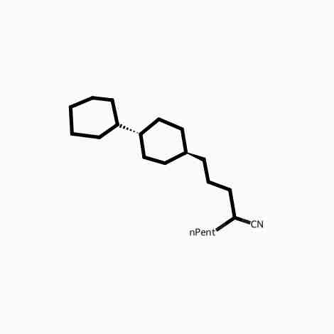 CCCCCC(C#N)CCC[C@H]1CC[C@H](C2CCCCC2)CC1